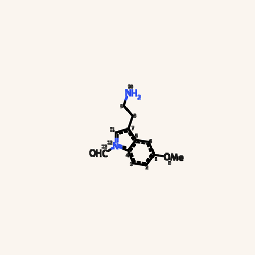 COc1ccc2c(c1)c(CCN)cn2C=O